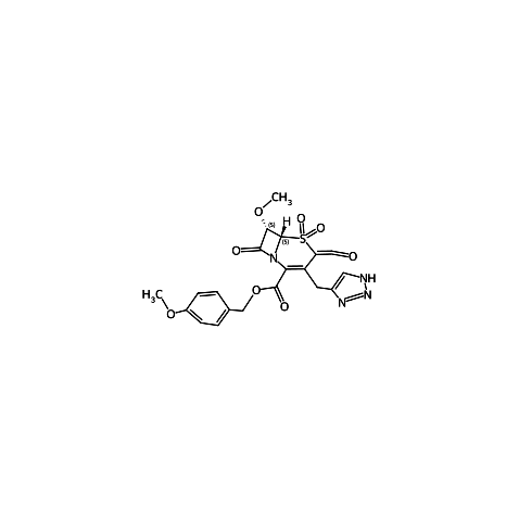 COc1ccc(COC(=O)C2=C(Cc3c[nH]nn3)C(=C=O)S(=O)(=O)[C@H]3[C@@H](OC)C(=O)N23)cc1